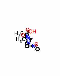 COc1cc(C(=O)O)cn2nc(-c3cc4cccc(C5CN(C(=O)C6CCCCC6)C5)c4n3CC3CC3)c(C)c12